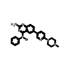 CN1CCN(c2ccc(-c3ccc4nc(N)nc(N(Br)c5ccccc5)c4c3)cn2)CC1